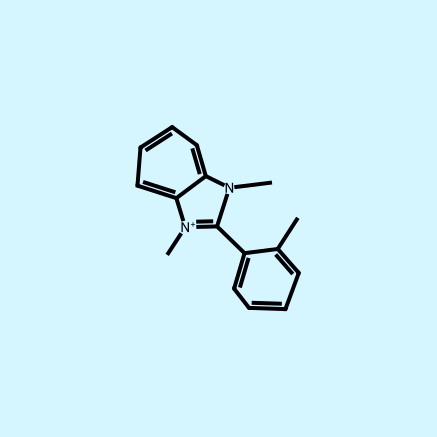 Cc1ccccc1-c1n(C)c2ccccc2[n+]1C